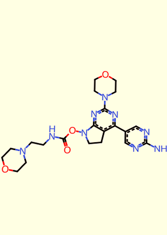 Nc1ncc(-c2nc(N3CCOCC3)nc3c2CCN3OC(=O)NCCN2CCOCC2)cn1